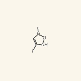 CN1C=C(I)NO1